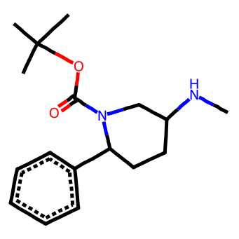 CNC1CCC(c2ccccc2)N(C(=O)OC(C)(C)C)C1